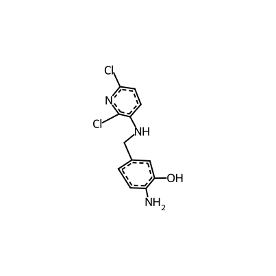 Nc1ccc(CNc2ccc(Cl)nc2Cl)cc1O